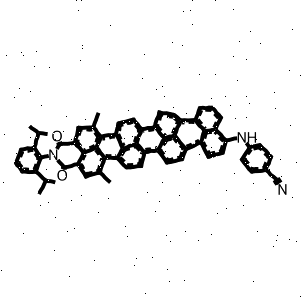 Cc1cc2c3c(cc(C)c4c5ccc6c7ccc8c9ccc(Nc%10ccc(C#N)cc%10)c%10cccc(c%11ccc(c%12ccc(c1c34)c5c%126)c7c%118)c%109)C(=O)N(c1c(C(C)C)cccc1C(C)C)C2=O